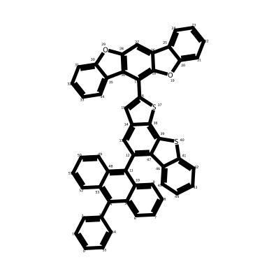 c1ccc(-c2c3ccccc3c(-c3cc4cc(-c5c6oc7ccccc7c6cc6oc7ccccc7c56)sc4c4sc5ccccc5c34)c3ccccc23)cc1